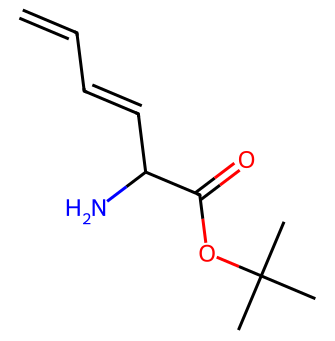 C=CC=CC(N)C(=O)OC(C)(C)C